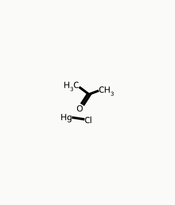 CC(C)=O.[Cl][Hg]